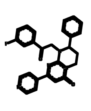 O=C(CN1c2nc(-c3ccncc3)cc(=O)n2CCC1c1ccccc1)c1cccc(F)c1